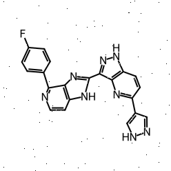 Fc1ccc(-c2nccc3[nH]c(-c4n[nH]c5ccc(-c6cn[nH]c6)nc45)nc23)cc1